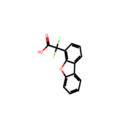 O=C(O)C(F)(F)c1cccc2c1oc1ccccc12